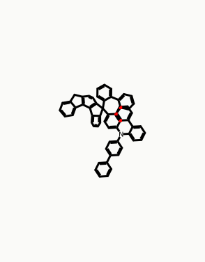 c1ccc(-c2ccc(N(c3ccc4c(c3)-c3ccccc3-c3ccccc3C43c4ccccc4-c4c3ccc3c4-c4ccccc4C3)c3ccccc3-c3ccccc3)cc2)cc1